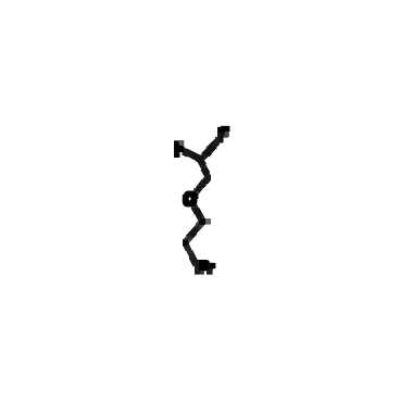 CC(C)C[CH]OCC(F)F